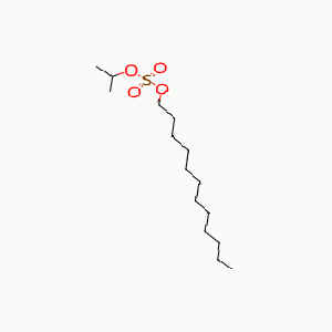 CCCCCCCCCCCCOS(=O)(=O)OC(C)C